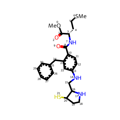 COC(=O)[C@H](CCSC)NC(=O)c1ccc(NCC2NCCC2S)cc1Cc1ccccc1